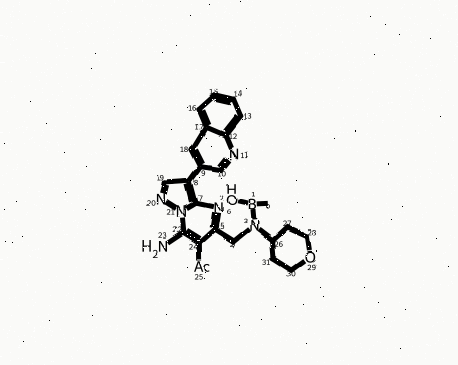 CB(O)N(Cc1nc2c(-c3cnc4ccccc4c3)cnn2c(N)c1C(C)=O)C1CCOCC1